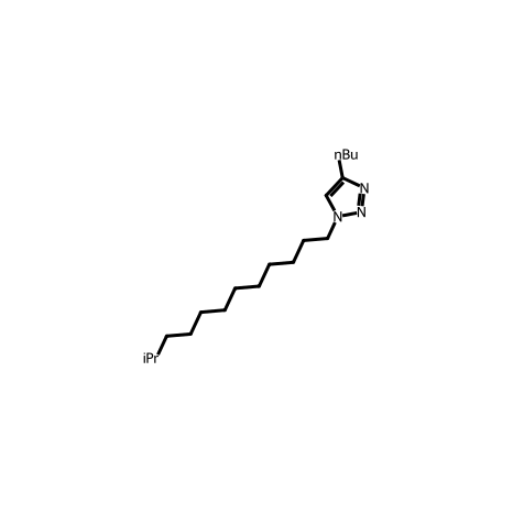 CCCCc1cn(CCCCCCCCCCC(C)C)nn1